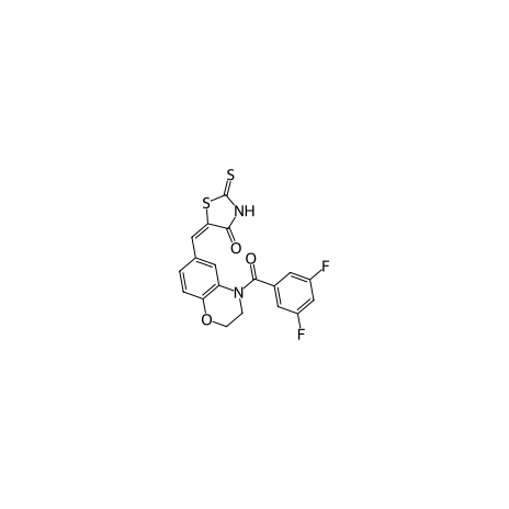 O=C1NC(=S)SC1=Cc1ccc2c(c1)N(C(=O)c1cc(F)cc(F)c1)CCO2